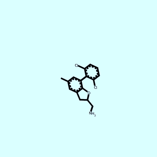 Cc1cc2c(c(-c3c(Cl)cccc3Cl)c1)OC(CN)C2